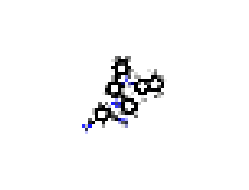 N#Cc1ccc(-n2c3ccccc3c3c2ccc2c4ccccc4n(-c4ccc5ccccc5c4)c23)c(C#N)c1